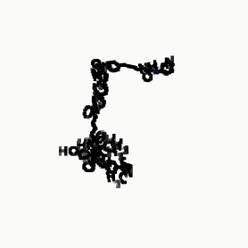 Cc1ncsc1-c1ccc(CNC(=O)[C@@H]2C[C@@H](O)CN2C(=O)[C@@H](NC(=O)CCCCC(=O)N2CCN(C3CCN(c4ccc(C(=O)N5CCC(CCCCNC(=O)/C=C/c6cccnc6)CC5)nn4)CC3)CC2)C(C)(C)C)cc1